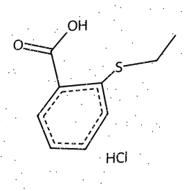 CCSc1ccccc1C(=O)O.Cl